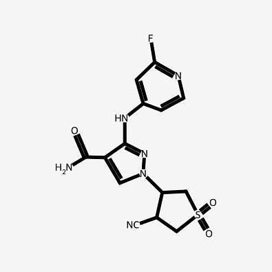 N#CC1CS(=O)(=O)CC1n1cc(C(N)=O)c(Nc2ccnc(F)c2)n1